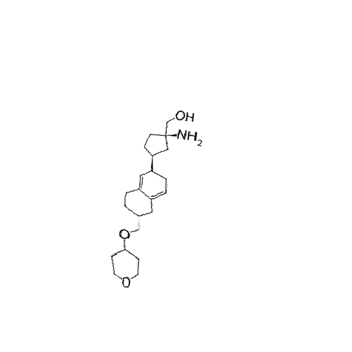 N[C@]1(CO)CC[C@H](C2C=C3CC[C@@H](COC4CCOCC4)CC3=CC2)C1